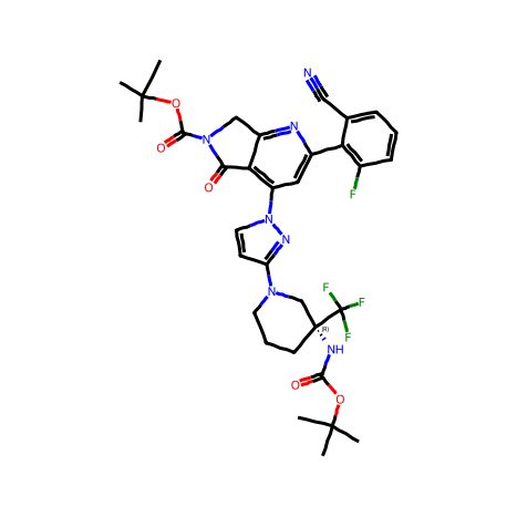 CC(C)(C)OC(=O)N[C@]1(C(F)(F)F)CCCN(c2ccn(-c3cc(-c4c(F)cccc4C#N)nc4c3C(=O)N(C(=O)OC(C)(C)C)C4)n2)C1